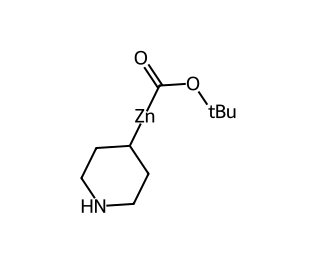 CC(C)(C)O[C](=O)[Zn][CH]1CCNCC1